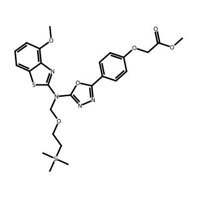 COC(=O)COc1ccc(-c2nnc(N(COCC[Si](C)(C)C)c3nc4c(OC)cccc4s3)o2)cc1